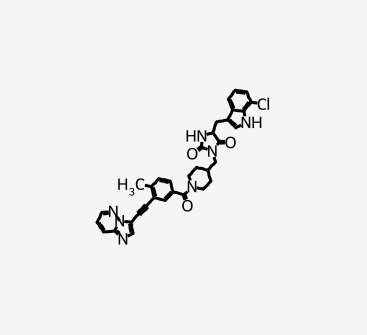 Cc1ccc(C(=O)N2CCC(CN3C(=O)NC(Cc4c[nH]c5c(Cl)cccc45)C3=O)CC2)cc1C#Cc1cnc2cccnn12